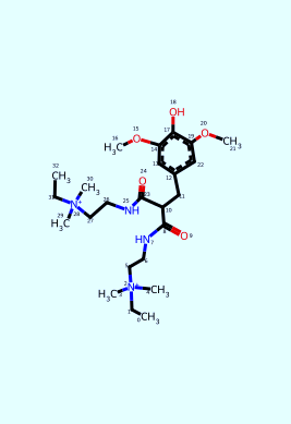 CC[N+](C)(C)CCNC(=O)C(Cc1cc(OC)c(O)c(OC)c1)C(=O)NCC[N+](C)(C)CC